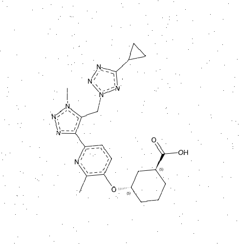 Cc1nc(-c2nnn(C)c2Cn2nnc(C3CC3)n2)ccc1O[C@H]1CCC[C@H](C(=O)O)C1